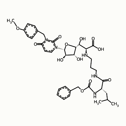 COc1ccc(Cn2c(=O)ccn([C@@H]3O[C@H](C(O)[C@H](NCCCNC(=O)[C@H](CC(C)C)NC(=O)OCc4ccccc4)C(=O)O)[C@H](O)[C@H]3O)c2=O)cc1